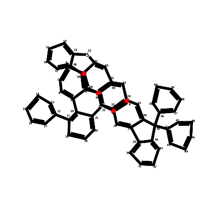 c1ccc(-c2ccccc2-c2c(-c3ccccc3)cccc2N(c2ccc3c(c2)-c2ccccc2C3(c2ccccc2)c2ccccc2)c2ccc3sc4ccccc4c3c2)cc1